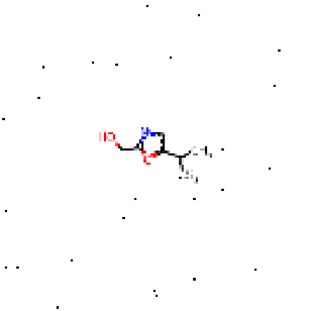 CC(C)c1cnc(CO)o1